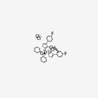 CC1=[C]([Zr+2]([C]2=C(C)C(c3ccc(F)cc3)=CC2)=[Ge]([c]2ccccc2)[c]2ccccc2)CC=C1c1ccc(F)cc1.[Cl-].[Cl-]